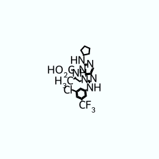 CC(Cn1c(Nc2cc(Cl)cc(C(F)(F)F)c2)nc2cnc(NC3CCCC3)nc21)NC(=O)O